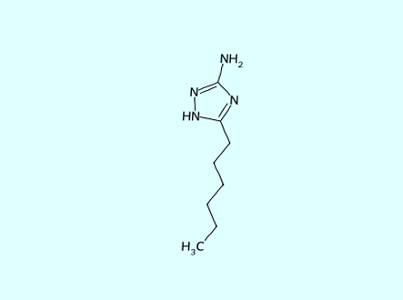 CCCCCCc1nc(N)n[nH]1